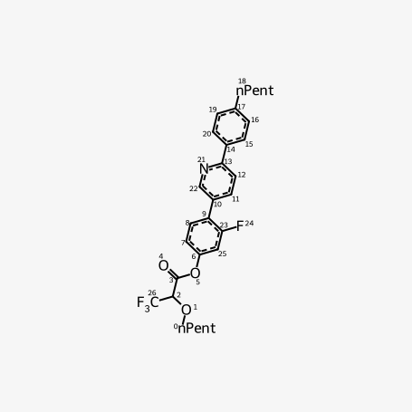 CCCCCOC(C(=O)Oc1ccc(-c2ccc(-c3ccc(CCCCC)cc3)nc2)c(F)c1)C(F)(F)F